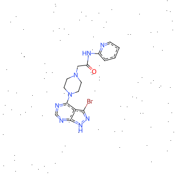 O=C(CN1CCN(c2ncnc3[nH]nc(Br)c23)CC1)Nc1ccccn1